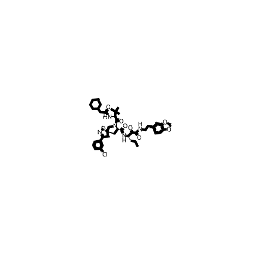 CCC[C@H](NC(=O)[C@@H]1C[C@]2(CC(c3cccc(Cl)c3)=NO2)CN1C(=O)[C@@H](NC(=O)CC1CCCCC1)C(C)(C)C)C(=O)C(=O)NCCc1ccc2c(c1)OCO2